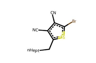 CCCCCCCCc1sc(Br)c(C#N)c1C#N